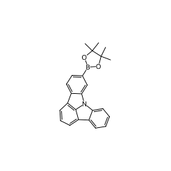 CC1(C)OB(c2ccc3c4cccc5c6ccccc6n(c3c2)c54)OC1(C)C